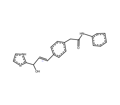 O=C(Cc1ccc(/C=C/C(O)c2ncc[nH]2)cc1)Nc1ccccc1